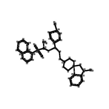 CN(CC(CCN1CCC2(CC1)C[S+]([O-])c1ccccc12)c1ccc(Cl)cc1)S(=O)(=O)c1cccc2cccnc12